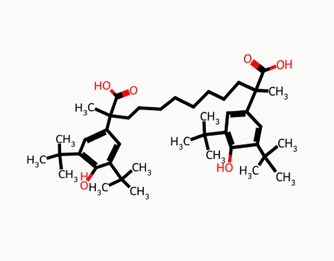 CC(C)(C)c1cc(C(C)(CCCCCCCCC(C)(C(=O)O)c2cc(C(C)(C)C)c(O)c(C(C)(C)C)c2)C(=O)O)cc(C(C)(C)C)c1O